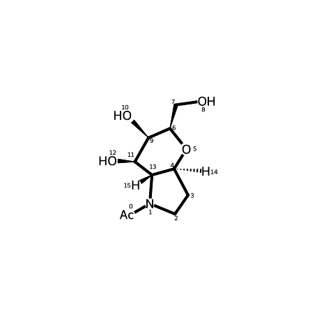 CC(=O)N1CC[C@@H]2O[C@H](CO)[C@H](O)[C@H](O)[C@H]21